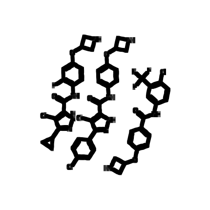 O=C(Nc1ccc(Cl)c(C(F)(F)F)c1)c1ccc(OC2CNC2)cc1.O=C(Nc1ccc(OC2CNC2)cc1)c1[nH]nc(-c2ccc(Cl)cc2)c1Cl.O=C(Nc1ccc(OC2CNC2)cc1F)c1[nH]nc(C2CC2)c1Cl